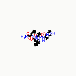 CC(C)[C@H](NC(=O)N[C@H](C(=O)N1CC2(C[C@H]1C(=O)NC(CC1CCC1)C(=O)C(N)=O)C(C)(C)C21CCC1)C(C)(C)C)C(=O)N1CCNC(C)(C)C1